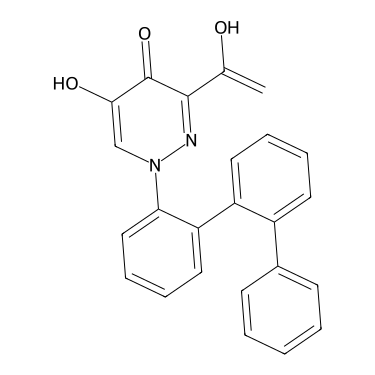 C=C(O)c1nn(-c2ccccc2-c2ccccc2-c2ccccc2)cc(O)c1=O